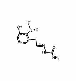 NC(=O)N/N=C/Cc1cccc(O)c1[N+](=O)[O-]